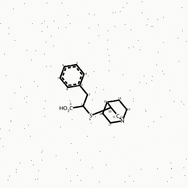 O=C(O)C(Cc1ccccc1)SC1CN2CCC1CC2